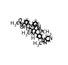 CCOC(=O)C1=C(c2ccc(-n3c(C)nc4cnccc43)cc2)NC(C)=C(C(=O)Nc2cccc(N(O)C(C)=O)c2)C1c1ccccc1Cl